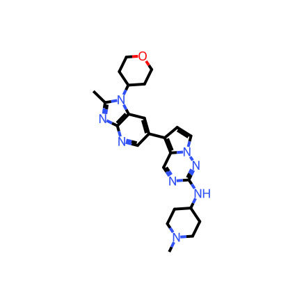 Cc1nc2ncc(-c3ccn4nc(NC5CCN(C)CC5)ncc34)cc2n1C1CCOCC1